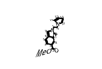 COC(=O)c1ccc2cn(CCn3cccc3)nc2c1